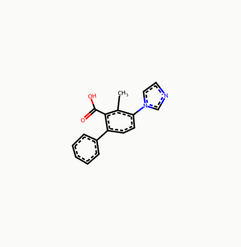 Cc1c(-n2ccnc2)ccc(-c2ccccc2)c1C(=O)O